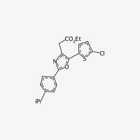 CCOC(=O)Cc1nc(-c2ccc(C(C)C)cc2)oc1-c1ccc(Cl)s1